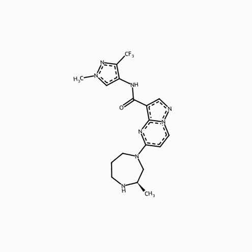 C[C@@H]1CN(c2ccn3ncc(C(=O)Nc4cn(C)nc4C(F)(F)F)c3n2)CCCN1